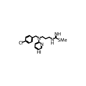 CSC(=N)NCCCN(Cc1ccc(Cl)cc1)c1ccccn1.I